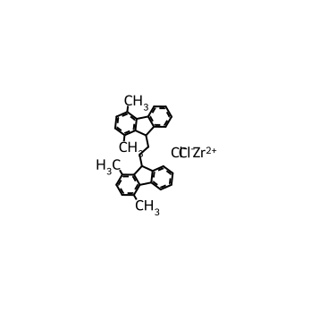 Cc1ccc(C)c2c1-c1ccccc1C2CCC1c2ccccc2-c2c(C)ccc(C)c21.[Cl-].[Cl-].[Zr+2]